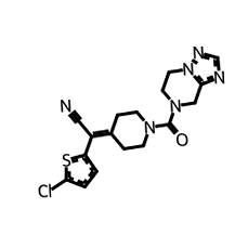 N#CC(=C1CCN(C(=O)N2CCn3ncnc3C2)CC1)c1ccc(Cl)s1